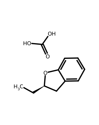 CC[C@@H]1Cc2ccccc2O1.O=C(O)O